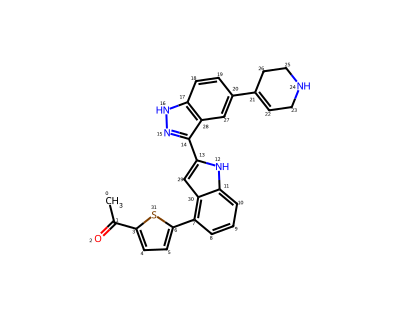 CC(=O)c1ccc(-c2cccc3[nH]c(-c4n[nH]c5ccc(C6=CCNCC6)cc45)cc23)s1